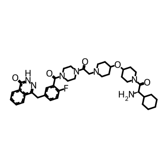 N[C@@H](C(=O)N1CCC(OC2CCN(CC(=O)N3CCN(C(=O)c4cc(Cc5n[nH]c(=O)c6ccccc56)ccc4F)CC3)CC2)CC1)C1CCCCC1